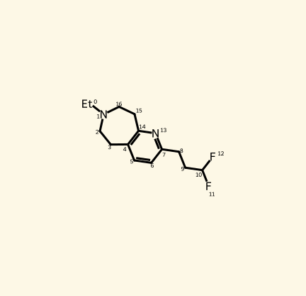 CCN1CCc2ccc(CCC(F)F)nc2CC1